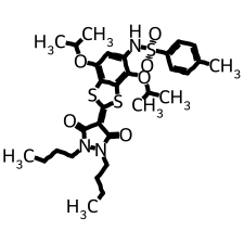 CCCCN1C(=O)C(=C2Sc3c(OC(C)C)cc(NS(=O)(=O)c4ccc(C)cc4)c(OC(C)C)c3S2)C(=O)N1CCCC